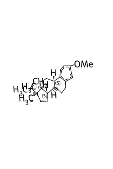 C=C(C)[C@@]1(C)CC[C@H]2[C@@H]3CCc4cc(OC)ccc4[C@H]3CC[C@@]21C